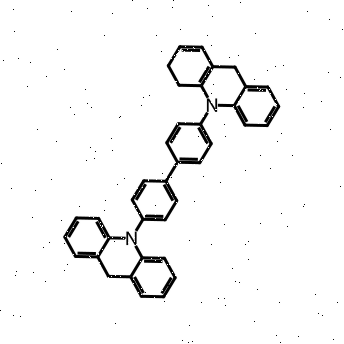 C1=CC2=C(CC1)N(c1ccc(-c3ccc(N4c5ccccc5Cc5ccccc54)cc3)cc1)c1ccccc1C2